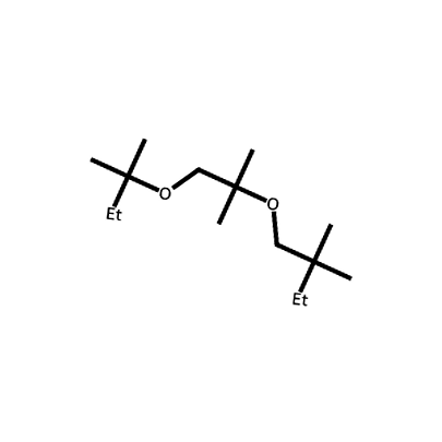 CCC(C)(C)COC(C)(C)COC(C)(C)CC